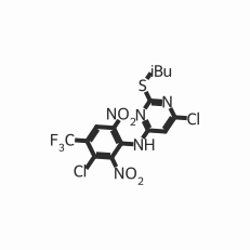 CCC(C)Sc1nc(Cl)cc(Nc2c([N+](=O)[O-])cc(C(F)(F)F)c(Cl)c2[N+](=O)[O-])n1